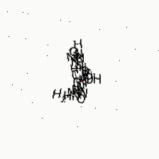 Nc1nc2c(ncn2[C@@H]2OC3CC[C@H]4C[C@H](n5cnc6c(=O)[nH]cnc65)O[C@@H]4COP(=O)(O)O[C@@H]2C3)c(=O)[nH]1